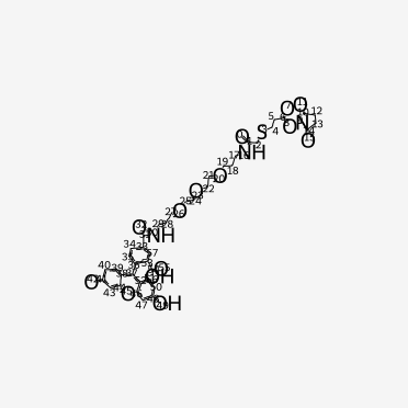 O=C(CSCCC(=O)ON1C(=O)CCC1=O)NCCCOCCOCCOCCCNC(=O)c1ccc(-c2c3ccc(=O)cc-3oc3cc(O)ccc23)c(C(=O)O)c1